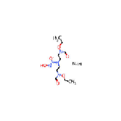 CCON(C=O)CCN(CCN(C=O)OCC)[N+]([O-])=NO.[NaH]